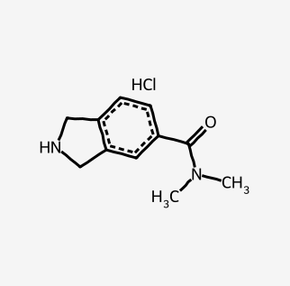 CN(C)C(=O)c1ccc2c(c1)CNC2.Cl